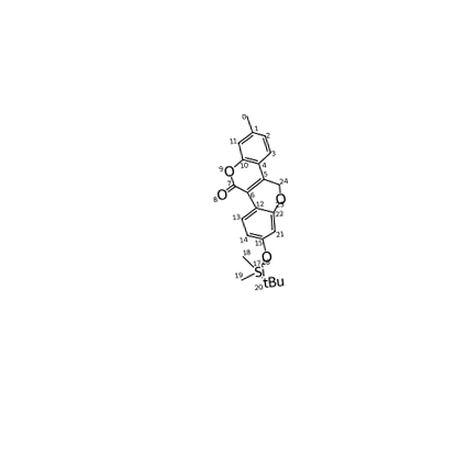 Cc1ccc2c3c(c(=O)oc2c1)-c1ccc(O[Si](C)(C)C(C)(C)C)cc1OC3